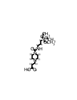 CO[Si](CCCNC(=O)N1CCN(CCC(=O)O)CC1)(OC)OC